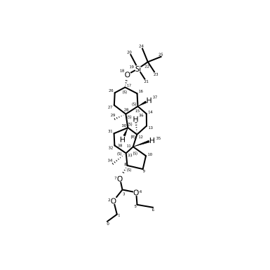 CCOC(OCC)O[C@H]1CC[C@H]2[C@@H]3CC[C@H]4C[C@@H](O[Si](C)(C)C(C)(C)C)CC[C@]4(C)[C@H]3CC[C@]12C